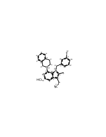 Cc1c(CC#N)c2ccnc(N3CCc4ccccc4C3)c2n1Cc1cccc(F)c1.Cl